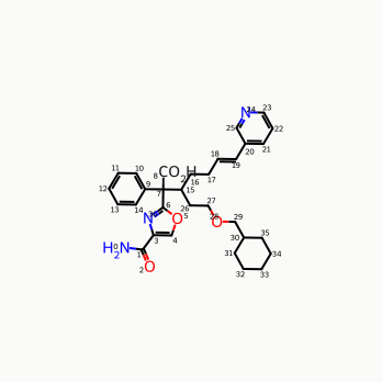 NC(=O)c1coc(C(C(=O)O)(c2ccccc2)C(CCC=Cc2cccnc2)CCOCC2CCCCC2)n1